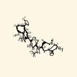 C=NCC(CC1CCNC1=O)NC(=O)[C@H](CC(C)C)NC(=O)c1cc2c(OC)cccc2[nH]1